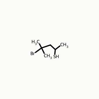 CC(S)CC(C)(C)Br